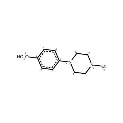 CCN1CCN(c2ccc(C(=O)O)cc2)CC1